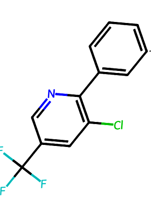 FC(F)(F)c1cnc(-c2c[c]ccc2)c(Cl)c1